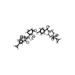 COc1c(CNC(=O)c2cc(C3CC3)nn2C)cccc1OCc1ccc(C(=O)N2CCN(S(=O)(=O)C3CC3)CC2)cc1